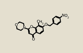 Cc1c(OCc2ccc([N+](=O)[O-])cc2)ccc2c(=O)cc(N3CCOCC3)oc12